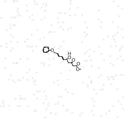 COC(=O)CC(=O)CC(O)/C=C/C=C/COc1ccccc1